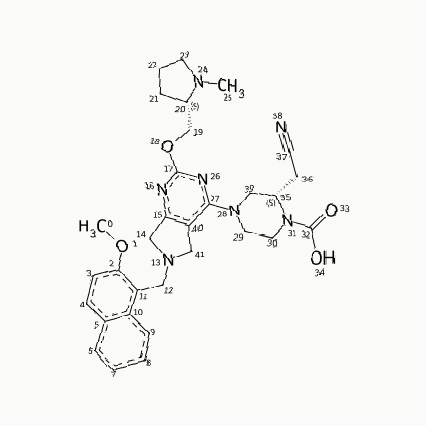 COc1ccc2ccccc2c1CN1Cc2nc(OC[C@@H]3CCCN3C)nc(N3CCN(C(=O)O)[C@@H](CC#N)C3)c2C1